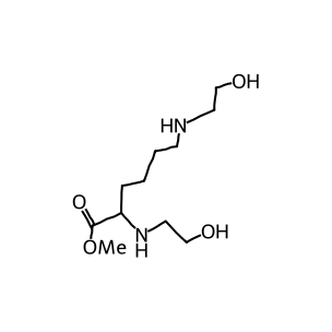 COC(=O)C(CCCCNCCO)NCCO